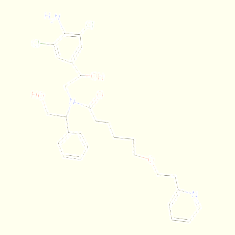 Nc1c(Cl)cc(C(O)CN(C(=O)CCCCCOCCc2ccccn2)C(CO)c2ccccc2)cc1Cl